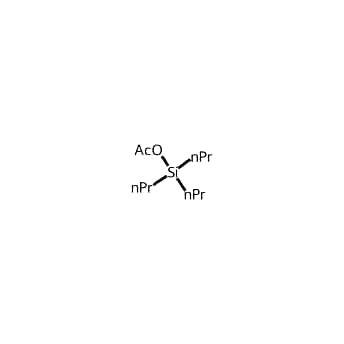 [CH2]C(=O)O[Si](CCC)(CCC)CCC